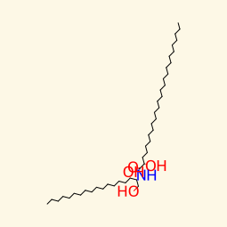 CCCCCCCCCCCCCCCCCCCCCCCCCC(O)C(=O)NC(CO)C(O)CCCCCCCCCCCCCCC